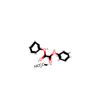 CC(=O)O.O=C(Oc1ccccc1)C(=O)Oc1ccccc1